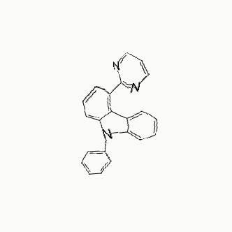 c1ccc(-n2c3ccccc3c3c(-c4ncccn4)cccc32)cc1